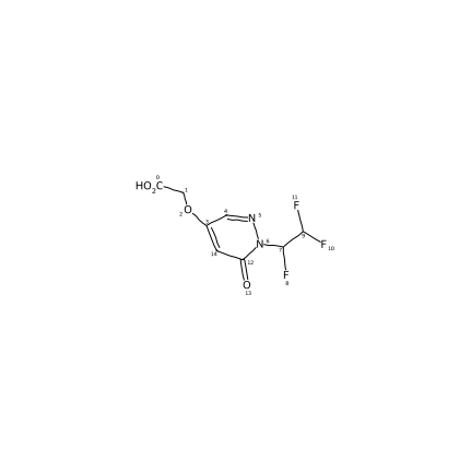 O=C(O)COc1cnn(C(F)C(F)F)c(=O)c1